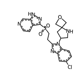 O=S(=O)(CCc1nc2cc(Cl)ccc2n1C1CNC2(COC2)C1)c1n[nH]c2cnccc12